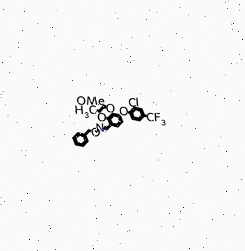 COC(=O)C(C)Oc1cc(Oc2ccc(C(F)(F)F)cc2Cl)ccc1/C=N/OCc1ccccc1